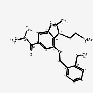 COCCn1c(C)nc2cc(C(=O)N(C)C)cc(OCc3ccccc3CO)c21